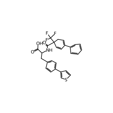 O=C(O)C(Cc1ccc(-c2ccsc2)cc1)NC(=O)C1(C(F)(F)F)C=CC(c2ccccc2)=CC1